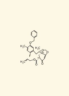 C=CCOC(=O)[C@@H]1C[C@]2([C@@H](C)Cc3cc(OCc4ccccc4)c(C)cc3F)OCOC2=CC1=O